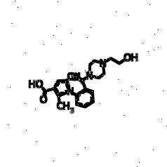 Cc1cc(C(=O)O)c(C)n1-c1ccccc1C(=O)N1CCN(CCO)CC1